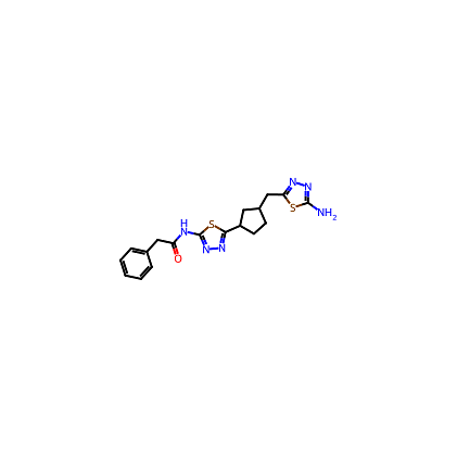 Nc1nnc(CC2CCC(c3nnc(NC(=O)Cc4ccccc4)s3)C2)s1